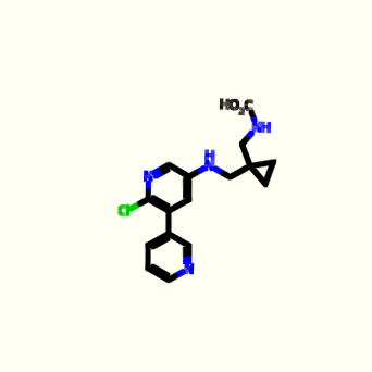 O=C(O)NCC1(CNc2cnc(Cl)c(-c3cccnc3)c2)CC1